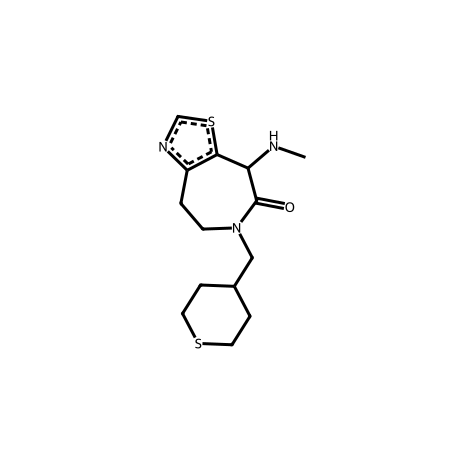 CNC1C(=O)N(CC2CCSCC2)CCc2ncsc21